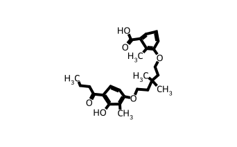 CCCC(=O)c1ccc(OCCC(C)(C)CCOc2cccc(C(=O)O)c2C)c(C)c1O